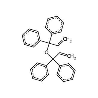 C=CC(OC(C=C)(c1ccccc1)c1ccccc1)(c1ccccc1)c1ccccc1